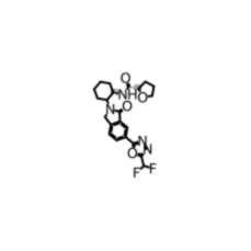 O=C(N[C@@H]1CCCCC1N1Cc2ccc(-c3nnc(C(F)F)o3)cc2C1=O)[C@@H]1CCCO1